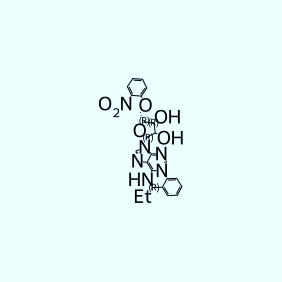 CC[C@@H](Nc1ncnc2c1ncn2[C@@H]1O[C@H](COc2ccccc2[N+](=O)[O-])[C@H](O)C1O)c1ccccc1